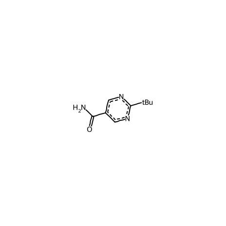 CC(C)(C)c1ncc(C(N)=O)cn1